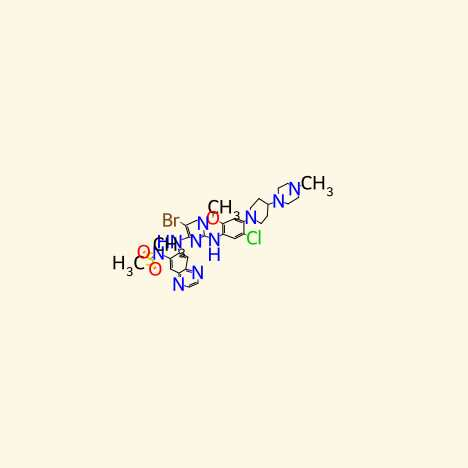 COc1cc(N2CCC(N3CCN(C)CC3)CC2)c(Cl)cc1Nc1ncc(Br)c(Nc2cc3nccnc3cc2N(C)S(C)(=O)=O)n1